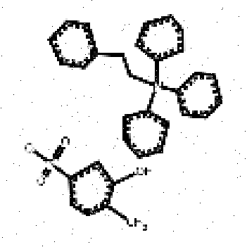 Cc1ccc(S(=O)(=O)[O-])cc1O.c1ccc(CC[P+](c2ccccc2)(c2ccccc2)c2ccccc2)cc1